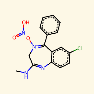 CNC1=Nc2ccc(Cl)cc2C(c2ccccc2)=[N+]([O-])C1.O=NO